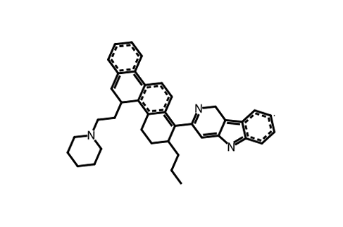 CCCC1CCc2c3c(ccc2=C1C1=NCC2=c4c[c]ccc4=NC2=C1)=c1ccccc1=CC3CCN1CCCCC1